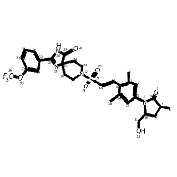 Cc1cc(N2C(=O)C(C)CC2CO)cc(C)c1/C=C/S(=O)(=O)N1CCC2(CC1)N=C(c1cccc(OC(F)(F)F)c1)NC2=O